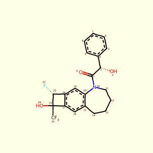 O=C([C@@H](O)c1ccccc1)N1CCCCc2cc3c(cc21)[C@@H](F)C3(O)C(F)(F)F